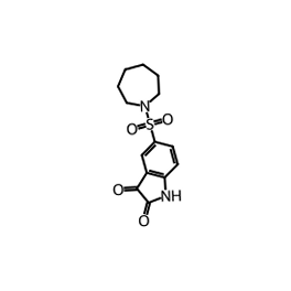 O=C1Nc2ccc(S(=O)(=O)N3CCCCCC3)cc2C1=O